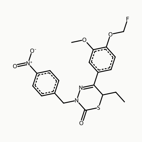 CCC1SC(=O)N(Cc2ccc([N+](=O)[O-])cc2)N=C1c1ccc(OCF)c(OC)c1